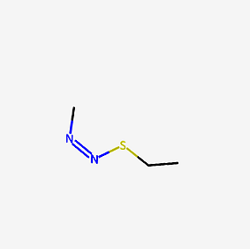 CCS/N=N\C